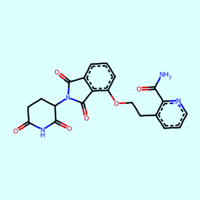 NC(=O)c1ncccc1CCOc1cccc2c1C(=O)N(C1CCC(=O)NC1=O)C2=O